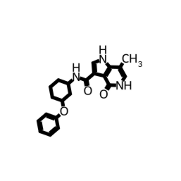 Cc1c[nH]c(=O)c2c(C(=O)NC3CCCC(Oc4ccccc4)C3)c[nH]c12